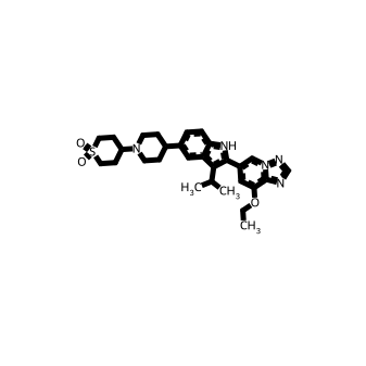 CCOc1cc(-c2[nH]c3ccc(C4CCN(C5CCS(=O)(=O)CC5)CC4)cc3c2C(C)C)cn2ncnc12